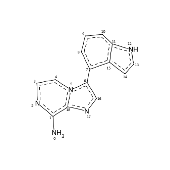 Nc1nccn2c(-c3cccc4[nH]ccc34)cnc12